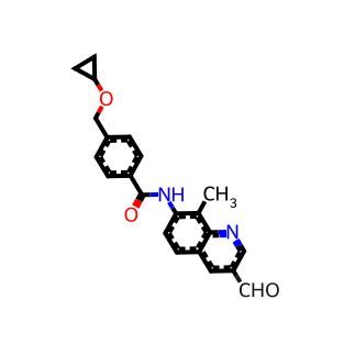 Cc1c(NC(=O)c2ccc(COC3CC3)cc2)ccc2cc(C=O)cnc12